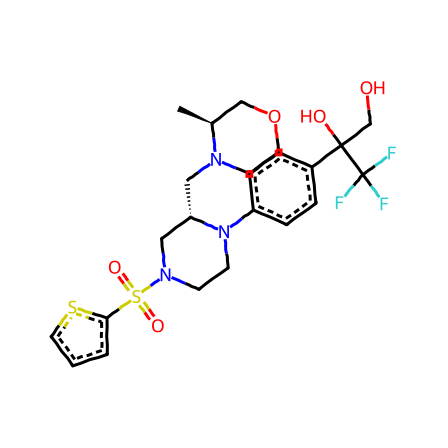 C[C@H]1COCCN1C[C@H]1CN(S(=O)(=O)c2cccs2)CCN1c1ccc(C(O)(CO)C(F)(F)F)cc1